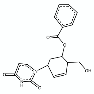 O=C(OC1CC(n2ccc(=O)[nH]c2=O)C=CC1CO)c1ccccc1